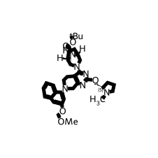 COCOc1cc(N2CCc3c(nc(OC[C@@H]4CCCN4C)nc3N3C[C@H]4C[C@@H](F)[C@@H](C3)N4C(=O)OC(C)(C)C)C2)c2ccccc2c1